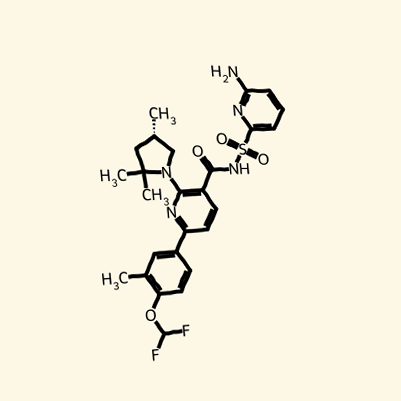 Cc1cc(-c2ccc(C(=O)NS(=O)(=O)c3cccc(N)n3)c(N3C[C@@H](C)CC3(C)C)n2)ccc1OC(F)F